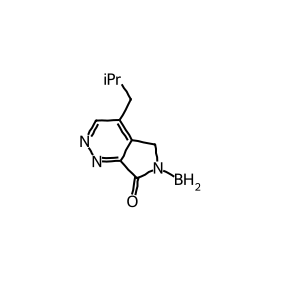 BN1Cc2c(CC(C)C)cnnc2C1=O